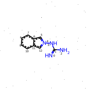 N=C(N)Nn1cc2ccccc2c1